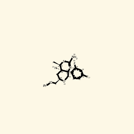 CC(C)OC[C@H]1C[C@H]2[C@@H](C)SC(N)=N[C@@]2(c2ccc(F)cc2F)CO1